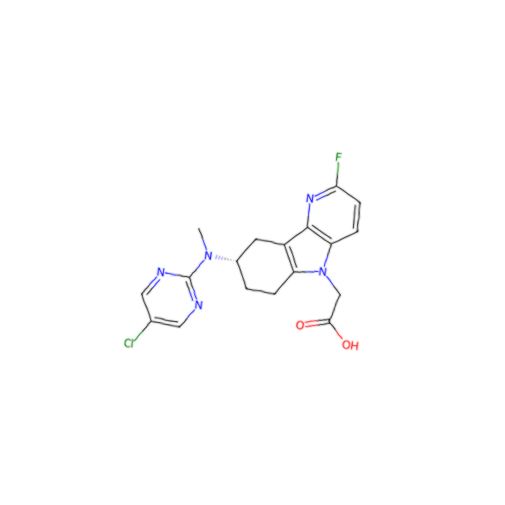 CN(c1ncc(Cl)cn1)[C@H]1CCc2c(c3nc(F)ccc3n2CC(=O)O)C1